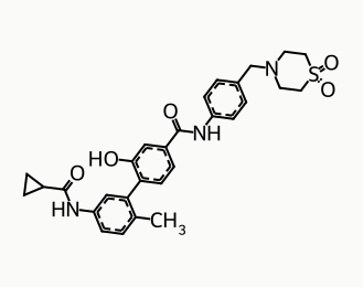 Cc1ccc(NC(=O)C2CC2)cc1-c1ccc(C(=O)Nc2ccc(CN3CCS(=O)(=O)CC3)cc2)cc1O